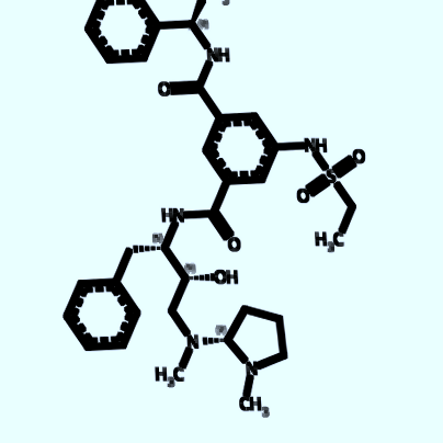 CCS(=O)(=O)Nc1cc(C(=O)N[C@@H](Cc2ccccc2)[C@H](O)CN(C)[C@@H]2CCCN2C)cc(C(=O)N[C@H](C)c2ccccc2)c1